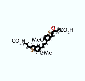 COc1cc2sc(CCCC(=O)O)cc2cc1CCCc1cc2cc(C(=O)CCC(=O)O)sc2cc1OC